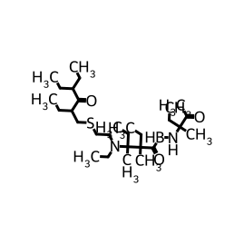 CCC(CC)C(=O)C(CC)CSCCN(CC)C(C)(CC)C(C)(CC)C(=O)BNC(C)(CC)C(C)=O